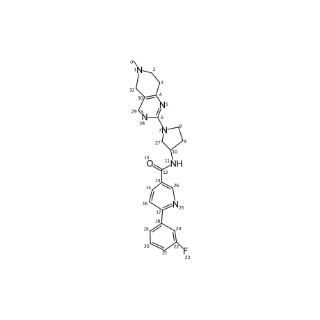 CN1CCc2nc(N3CCC(NC(=O)c4ccc(-c5cccc(F)c5)nc4)C3)ncc2C1